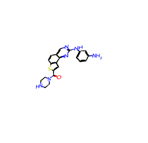 Nc1cccc(Nc2ncc3ccc4sc(C(=O)N5CCNCC5)cc4c3n2)c1